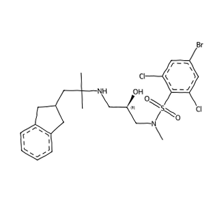 CN(C[C@H](O)CNC(C)(C)CC1Cc2ccccc2C1)S(=O)(=O)c1c(Cl)cc(Br)cc1Cl